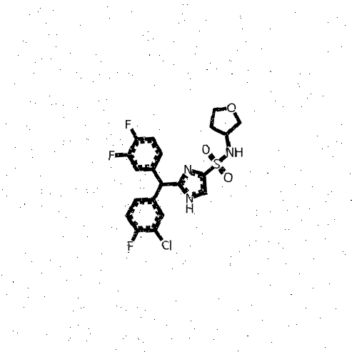 O=S(=O)(NC1CCOC1)c1c[nH]c(C(c2ccc(F)c(F)c2)c2ccc(F)c(Cl)c2)n1